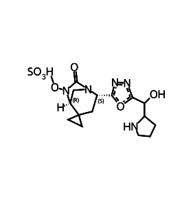 O=C1N2C[C@H](N1OS(=O)(=O)O)C1(CC1)C[C@H]2c1nnc(C(O)C2CCCN2)o1